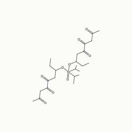 CCC(CC(=O)C(=O)CC(C)=O)[O][Ti](=[O])([O]C(CC)CC(=O)C(=O)CC(C)=O)([CH](C)C)[CH](C)C